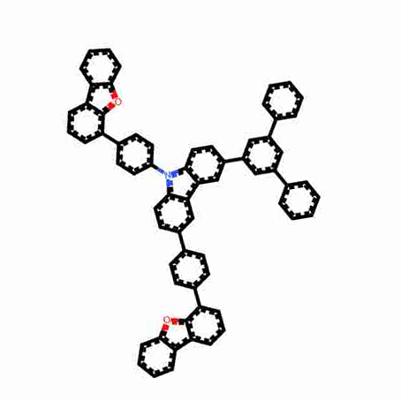 c1ccc(-c2cc(-c3ccccc3)cc(-c3ccc4c(c3)c3cc(-c5ccc(-c6cccc7c6oc6ccccc67)cc5)ccc3n4-c3ccc(-c4cccc5c4oc4ccccc45)cc3)c2)cc1